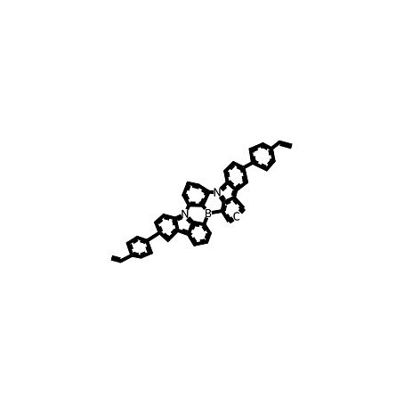 C=Cc1ccc(-c2ccc3c(c2)c2cccc4c2n3-c2cccc3c2B4c2cccc4c5cc(-c6ccc(C=C)cc6)ccc5n-3c24)cc1